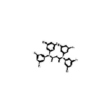 CCc1cc(CC)cc(P(c2cc(CC)cc(CC)c2)C(C)CC(C)P(c2cc(CC)cc(CC)c2)c2cc(CC)cc(CC)c2)c1